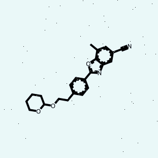 Cc1cc(C#N)cc2nc(-c3ccc(CCOC4CCCCO4)cc3)oc12